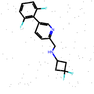 Fc1cccc(F)c1-c1ccc(CNC2CC(F)(F)C2)nc1